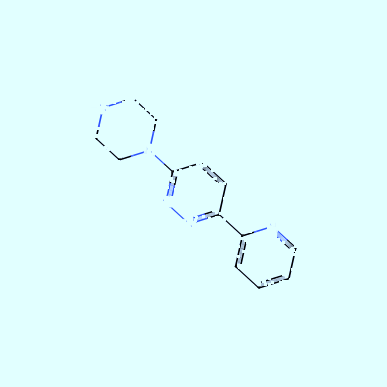 c1ccc(-c2ccc(N3CCNCC3)nn2)nc1